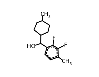 Cc1ccc(C(O)C2CCC(C)CC2)c(F)c1F